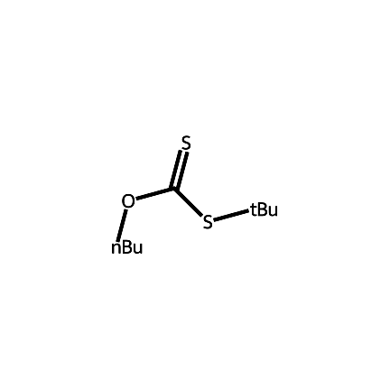 CCCCOC(=S)SC(C)(C)C